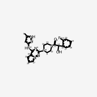 Cc1cc(Nc2nc(N3CCN(C(=O)C(O)c4ccccc4F)CC3)nn3cccc23)n[nH]1